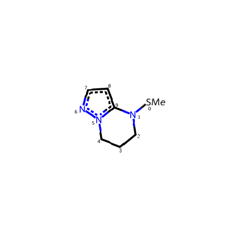 CSN1CCCn2nccc21